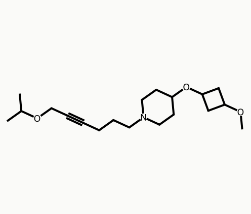 COC1CC(OC2CCN(CCCC#CCOC(C)C)CC2)C1